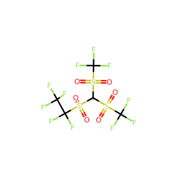 O=S(=O)([C](S(=O)(=O)C(F)(F)F)S(=O)(=O)C(F)(F)C(F)(F)F)C(F)(F)F